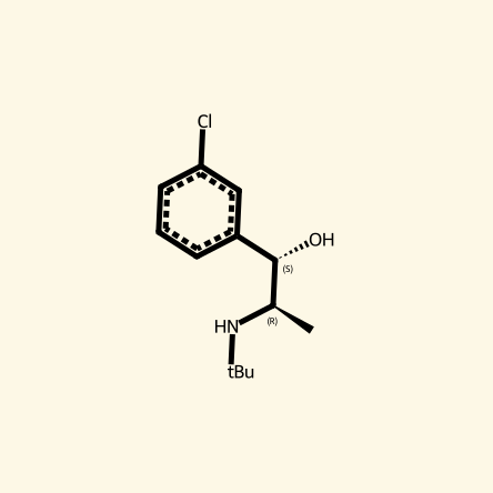 C[C@@H](NC(C)(C)C)[C@@H](O)c1cccc(Cl)c1